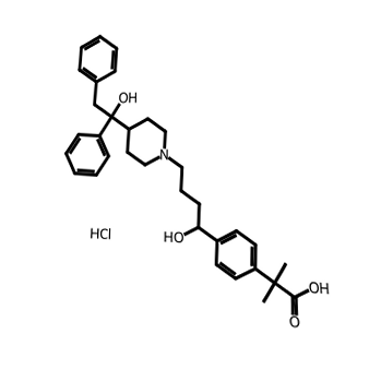 CC(C)(C(=O)O)c1ccc(C(O)CCCN2CCC(C(O)(Cc3ccccc3)c3ccccc3)CC2)cc1.Cl